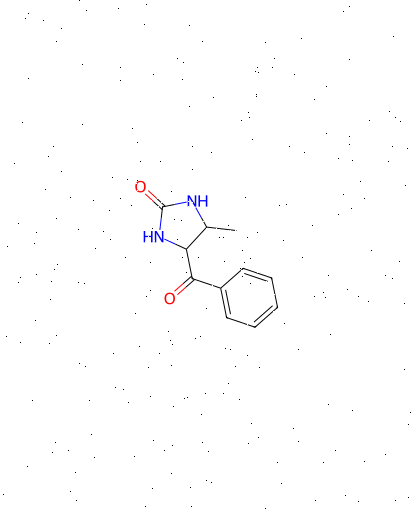 CC1NC(=O)NC1C(=O)c1ccccc1